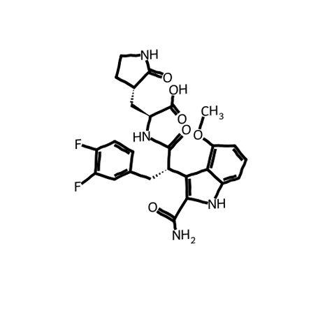 COc1cccc2[nH]c(C(N)=O)c([C@H](Cc3ccc(F)c(F)c3)C(=O)N[C@@H](C[C@@H]3CCNC3=O)C(=O)O)c12